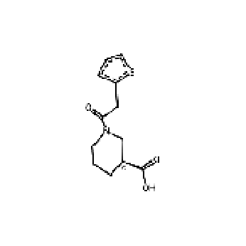 O=C(O)[C@H]1CCCN(C(=O)Cc2cccs2)C1